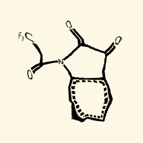 O=C1C(=O)N(C(=O)C(F)(F)F)c2ccccc21